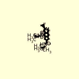 CC(C)CNS(=O)(=O)c1c2c(cc3cnc(C4CC4)cc13)CC(C(=O)NCC(C)(C)C)C2